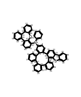 c1ccc(N(c2ccc3c(c2)c2ccccc2c2ccccc2c2ccccc2c2c3ccc3c4ccccc4sc32)c2cccc3c2Oc2ccccc2-c2ccccc2-3)cc1